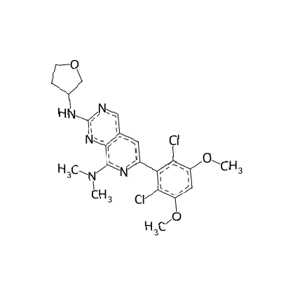 COc1cc(OC)c(Cl)c(-c2cc3cnc(NC4CCOC4)nc3c(N(C)C)n2)c1Cl